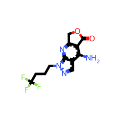 Nc1c2c(nc3c1cnn3CCCC(F)(F)F)COC2=O